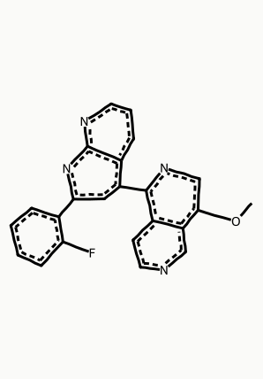 COc1cnc(-c2cc(-c3ccccc3F)nc3ncccc23)c2ccncc12